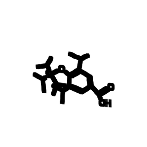 CC(C)c1cc(C(=O)O)cc(C(C)C)c1O[Si](C(C)C)(C(C)C)C(C)C